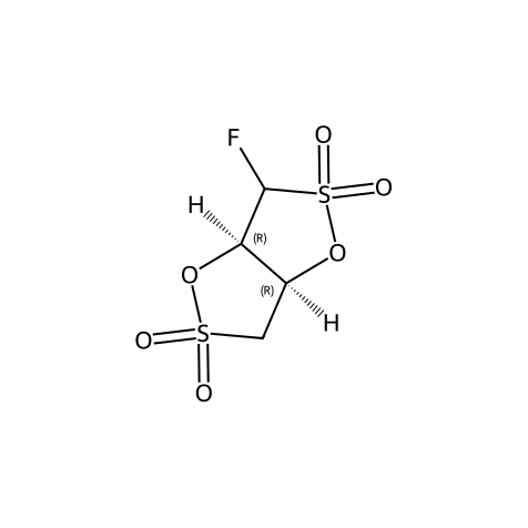 O=S1(=O)C[C@@H]2OS(=O)(=O)C(F)[C@@H]2O1